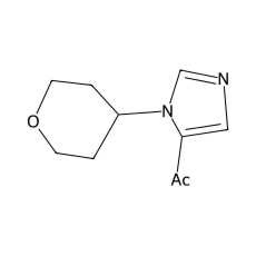 CC(=O)c1cncn1C1CCOCC1